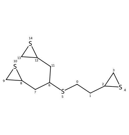 C(CC1CS1)SC(CC1CS1)CC1CS1